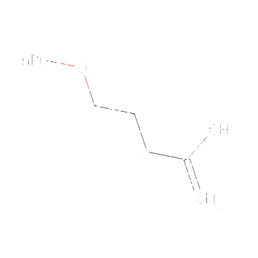 [CH2]CCOCCCC(=C)C